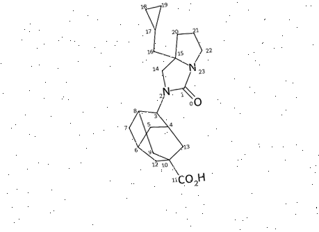 O=C1N(C2C3CC4CC2CC(C(=O)O)(C4)C3)CC2(CC3CC3)CCCN12